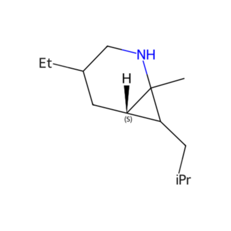 CCC1CNC2(C)C(CC(C)C)[C@@H]2C1